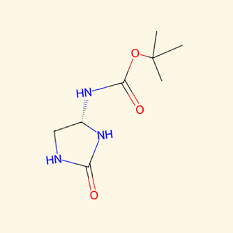 CC(C)(C)OC(=O)N[C@H]1CNC(=O)N1